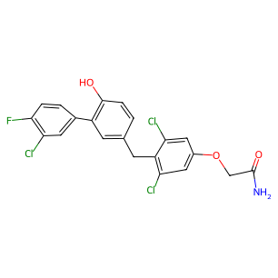 NC(=O)COc1cc(Cl)c(Cc2ccc(O)c(-c3ccc(F)c(Cl)c3)c2)c(Cl)c1